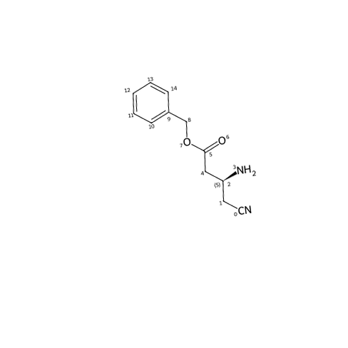 N#CC[C@H](N)CC(=O)OCc1ccccc1